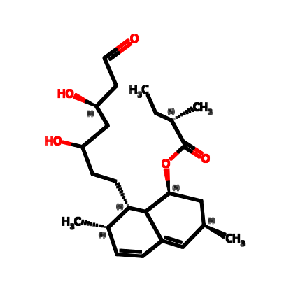 CC[C@H](C)C(=O)O[C@H]1C[C@@H](C)C=C2C=C[C@H](C)[C@H](CCC(O)C[C@@H](O)CC=O)C21